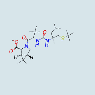 COC(=O)[C@@H]1[C@@H]2[C@H](CN1C(=O)[C@@H](NC(=O)N[C@](C)(CSC(C)(C)C)CC(C)C)C(C)(C)C)C2(C)C